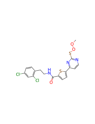 COOSc1nccc(-c2ccc(C(=O)NCCc3ccc(Cl)cc3Cl)s2)n1